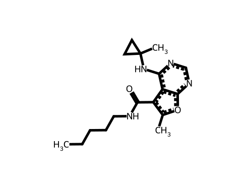 CCCCCNC(=O)c1c(C)oc2ncnc(NC3(C)CC3)c12